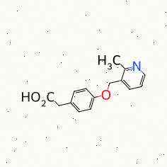 Cc1ncccc1COc1ccc(CC(=O)O)cc1